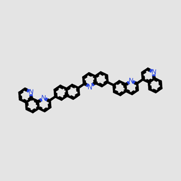 c1cnc2c(c1)ccc1ccc(-c3ccc4cc(-c5ccc6ccc(-c7ccc8ccc(-c9ccnc%10ccccc9%10)nc8c7)cc6n5)ccc4c3)nc12